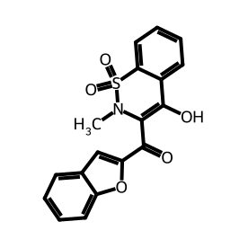 CN1C(C(=O)c2cc3ccccc3o2)=C(O)c2ccccc2S1(=O)=O